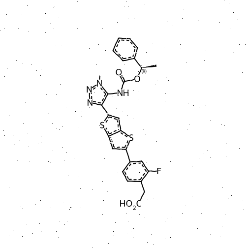 C[C@@H](OC(=O)Nc1c(-c2cc3sc(-c4ccc(CC(=O)O)c(F)c4)cc3s2)nnn1C)c1ccccc1